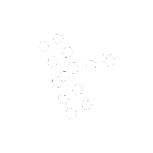 c1ccc(C2(c3ccccc3)c3ccccc3-c3ccc(-c4c5ccccc5c(-c5ccc6c(c5)C(c5ccccc5)(c5ccccc5)c5ccccc5-6)c5cc(-c6ccc(-c7ccccn7)cn6)ccc45)cc32)cc1